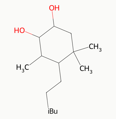 CCC(C)CCC1C(C)C(O)C(O)CC1(C)C